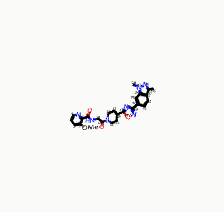 COc1cccnc1C(=O)NCC(=O)N1CCC(c2nc(-c3ccc4c(C)nn(C)c4c3)no2)CC1